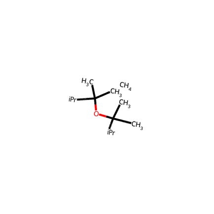 C.CC(C)C(C)(C)OC(C)(C)C(C)C